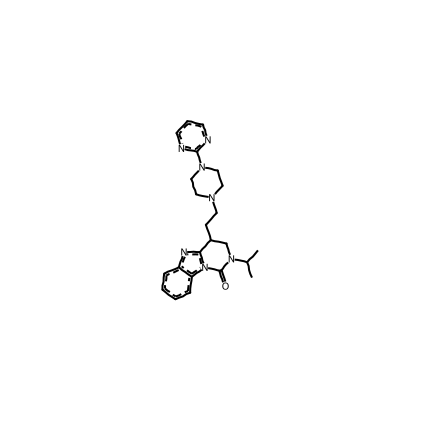 CC(C)N1CC(CCN2CCN(c3ncccn3)CC2)c2nc3ccccc3n2C1=O